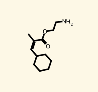 CC(=CC1CCCCC1)C(=O)OCCN